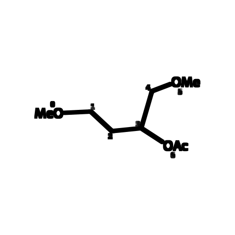 COCCC(COC)OC(C)=O